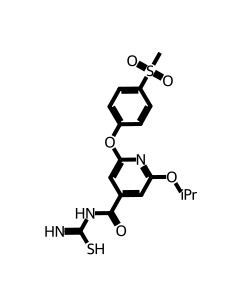 CC(C)Oc1cc(C(=O)NC(=N)S)cc(Oc2ccc(S(C)(=O)=O)cc2)n1